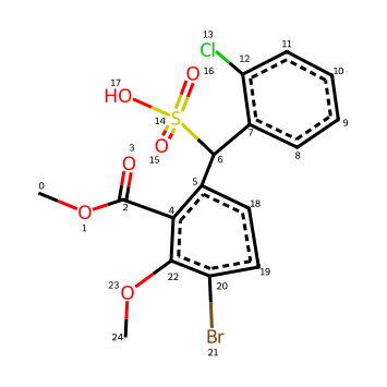 COC(=O)c1c(C(c2ccccc2Cl)S(=O)(=O)O)ccc(Br)c1OC